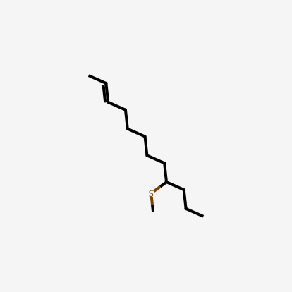 CC=CCCCCCC(CCC)SC